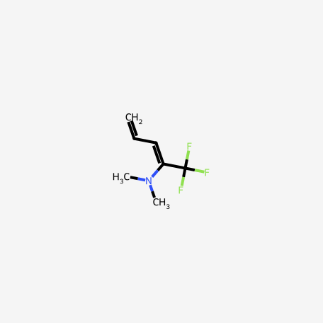 C=C/C=C(\N(C)C)C(F)(F)F